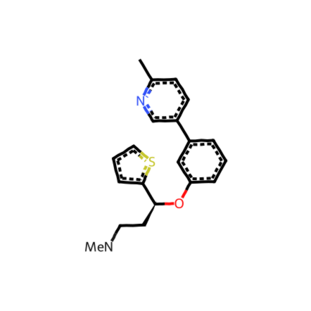 CNCC[C@H](Oc1cccc(-c2ccc(C)nc2)c1)c1cccs1